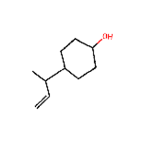 C=CC(C)C1CCC(O)CC1